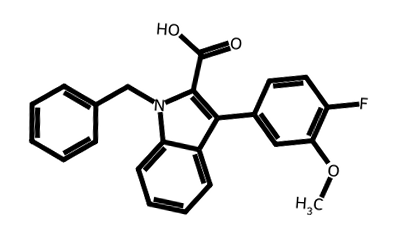 COc1cc(-c2c(C(=O)O)n(Cc3ccccc3)c3ccccc23)ccc1F